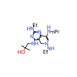 CCCNC1=CN(NCC)Cc2c(NCC(C)(C)O)nc(NCC)nc21